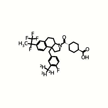 [2H]C([2H])([2H])c1cc(CC23CCN(C(=O)[C@H]4CC[C@H](C(=O)O)CC4)C2CCc2cc(C(C)(F)C(F)(F)F)ccc23)ccc1F